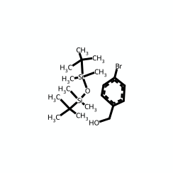 CC(C)(C)[Si](C)(C)O[Si](C)(C)C(C)(C)C.OCc1ccc(Br)cc1